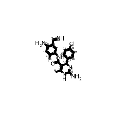 CC1=C(C(=O)Nc2cc(C=N)c(N)cc2F)C(c2ccc(Cl)cc2)N=C(N)N1